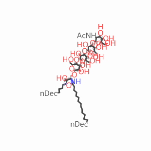 CCCCCCCCCCCCC/C=C/[C@@H](O)[C@H](CO[C@@H]1OC(CO)[C@@H](O[C@@H]2OC(CO)[C@H](O)[C@H](O[C@H]3OC(CO)[C@H](O)[C@H](O[C@@H]4OC(CO)[C@H](O)[C@H](O)C4NC(C)=O)C3O)C2O)[C@H](O)C1O)NC(=O)CCCCCCCCCCCCCCCCCCCCCCC